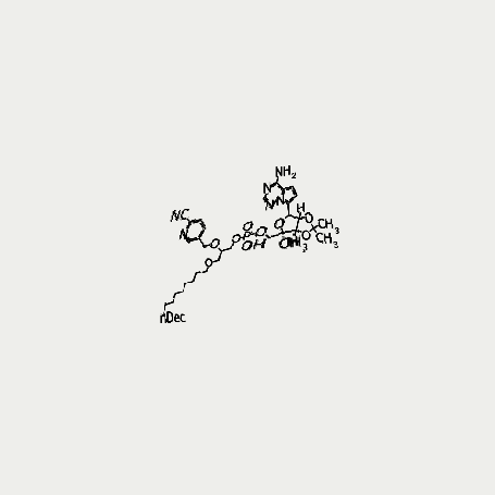 CCCCCCCCCCCCCCCCCCOC[C@H](COP(=O)(O)OC[C@@]1(C)O[C@@H](c2ccc3c(N)ncnn23)[C@@H]2OC(C)(C)O[C@@H]21)OCc1ccc(C#N)nc1